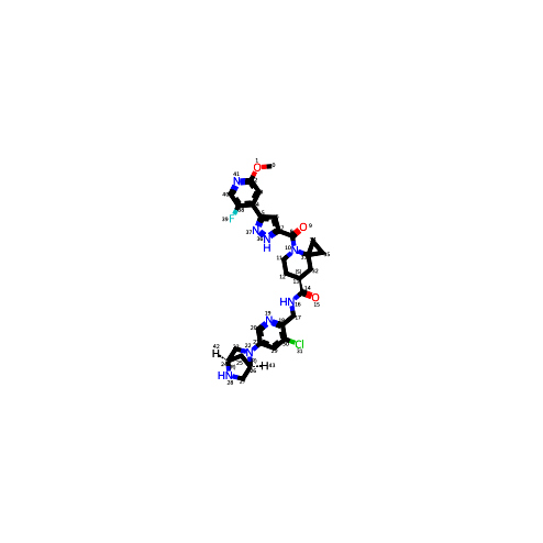 COc1cc(-c2cc(C(=O)N3CC[C@H](C(=O)NCc4ncc(N5C[C@H]6C[C@@H]5CN6)cc4Cl)CC34CC4)[nH]n2)c(F)cn1